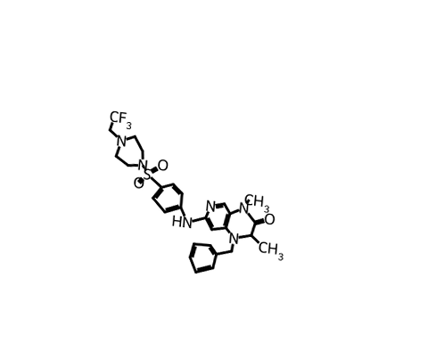 CC1C(=O)N(C)c2cnc(Nc3ccc(S(=O)(=O)N4CCN(CC(F)(F)F)CC4)cc3)cc2N1Cc1ccccc1